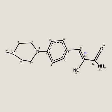 CN1CCN(c2ccc(/C=C(\C#N)C(N)=O)cc2)CC1